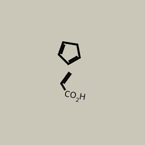 C1=CCC=C1.C=CC(=O)O